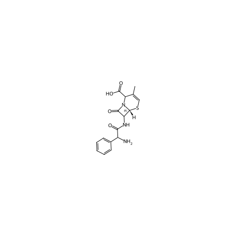 CC1=CS[C@@H]2C(NC(=O)C(N)c3ccccc3)C(=O)N2C1C(=O)O